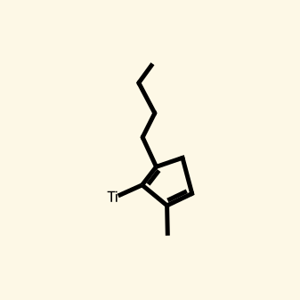 CCCCC1=[C]([Ti])C(C)=CC1